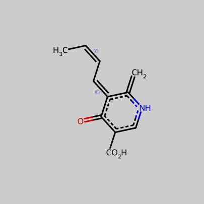 C=c1[nH]cc(C(=O)O)c(=O)/c1=C/C=C\C